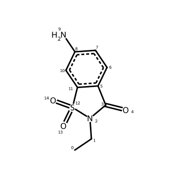 CCN1C(=O)c2ccc(N)cc2S1(=O)=O